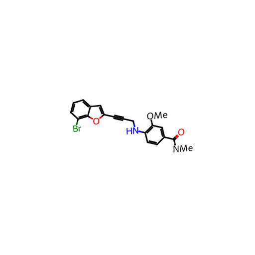 CNC(=O)c1ccc(NCC#Cc2cc3cccc(Br)c3o2)c(OC)c1